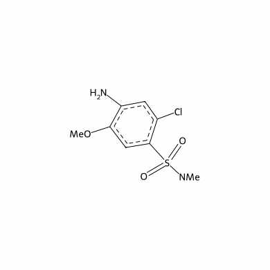 CNS(=O)(=O)c1cc(OC)c(N)cc1Cl